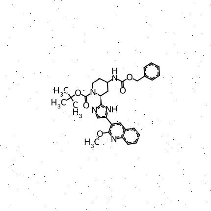 COc1nc2ccccc2cc1-c1cnc([C@@H]2CC(NC(=O)OCc3ccccc3)CCN2C(=O)OC(C)(C)C)[nH]1